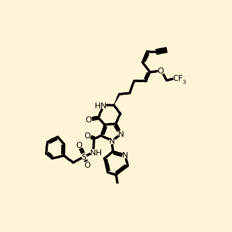 C#C/C=C\C(=C/CCC[C@H]1Cc2nn(-c3ccc(C)cn3)c(C(=O)NS(=O)(=O)Cc3ccccc3)c2C(=O)N1)OCC(F)(F)F